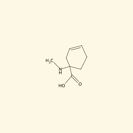 CNC1(C(=O)O)CC=CCC1